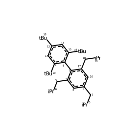 CC(C)Cc1cc(CC(C)C)c(-c2c(C(C)(C)C)cc(C(C)(C)C)cc2C(C)(C)C)c(CC(C)C)c1